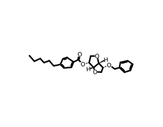 CCCCCCc1ccc(C(=O)O[C@@H]2CO[C@H]3[C@@H]2OC[C@H]3OCc2ccccc2)cc1